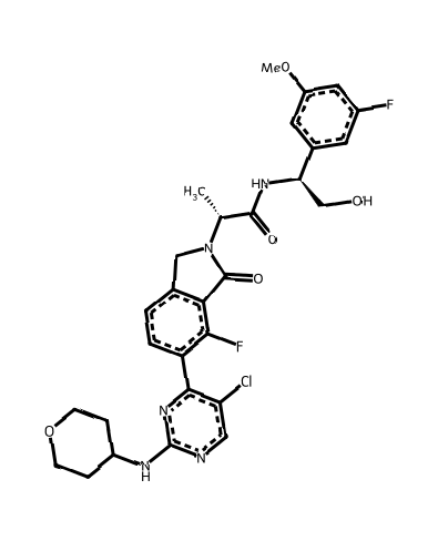 COc1cc(F)cc([C@@H](CO)NC(=O)[C@@H](C)N2Cc3ccc(-c4nc(NC5CCOCC5)ncc4Cl)c(F)c3C2=O)c1